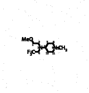 COCCN(CC(F)(F)F)C1CCN(C)CC1